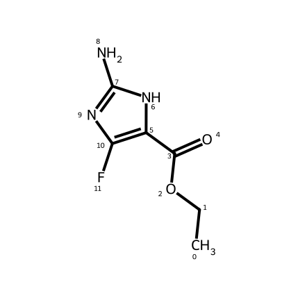 CCOC(=O)c1[nH]c(N)nc1F